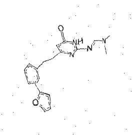 CN(C)/C=N/c1nc(CCc2cccc(-c3ccco3)c2)cc(=O)[nH]1